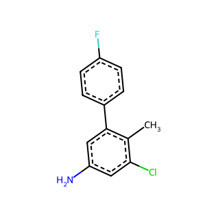 Cc1c(Cl)cc(N)cc1-c1ccc(F)cc1